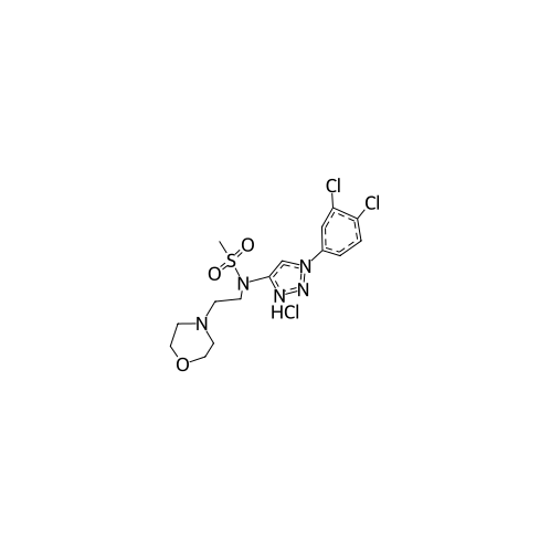 CS(=O)(=O)N(CCN1CCOCC1)c1cn(-c2ccc(Cl)c(Cl)c2)nn1.Cl